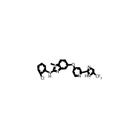 Cn1c(Nc2ccccc2Cl)nc2cc(Oc3ccnc(-c4ncc(C(F)(F)F)[nH]4)c3)ccc21